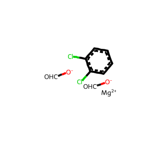 Clc1ccccc1Cl.O=C[O-].O=C[O-].[Mg+2]